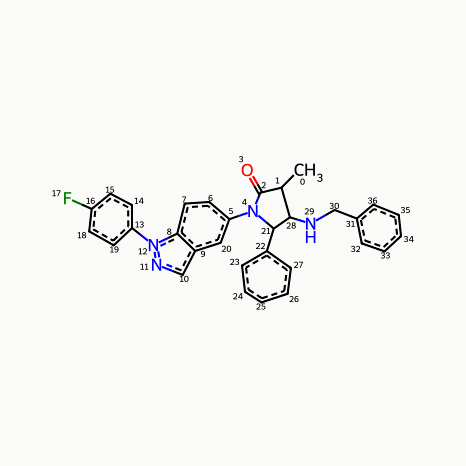 CC1C(=O)N(c2ccc3c(cnn3-c3ccc(F)cc3)c2)C(c2ccccc2)C1NCc1ccccc1